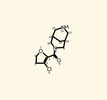 O=C(C1=C(Cl)CCO1)N1CC2CNCC(C2)C1